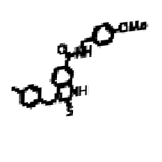 COc1ccc(CNC(=O)c2ccc3c(c2)[nH]c(=S)n3Cc2ccc(C)cc2)cc1